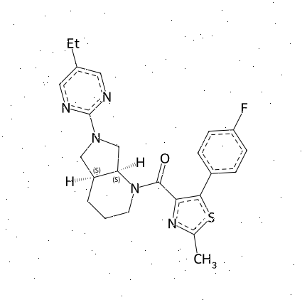 CCc1cnc(N2C[C@@H]3CCCN(C(=O)c4nc(C)sc4-c4ccc(F)cc4)[C@@H]3C2)nc1